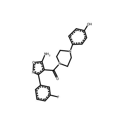 Nc1onc(-c2cccc(F)c2)c1C(=O)N1CCN(c2ccc(O)cc2)CC1